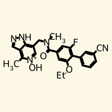 CCOc1cc(C(=O)N(C)Cc2c[n+](O)c(C)c3cn[nH]c23)cc(F)c1-c1cccc(C#N)c1